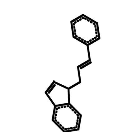 [C]1=Cc2ccccc2C1CC=Cc1ccccc1